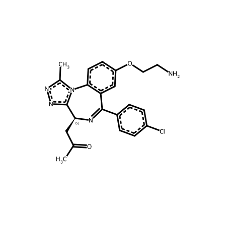 CC(=O)C[C@@H]1N=C(c2ccc(Cl)cc2)c2cc(OCCN)ccc2-n2c(C)nnc21